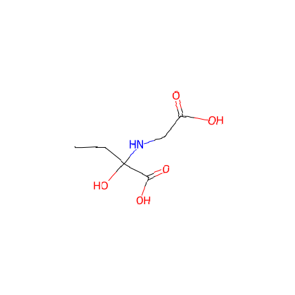 CCC(O)(NCC(=O)O)C(=O)O